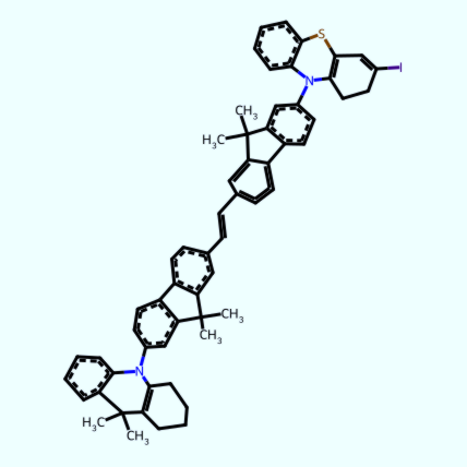 CC1(C)C2=CC(/C=C/c3ccc4c(c3)C(C)(C)c3cc(N5C6=C(CCCC6)C(C)(C)c6ccccc65)ccc3-4)=C=C=C2c2ccc(N3C4=C(C=C(I)CC4)Sc4ccccc43)cc21